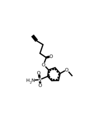 C#CCCC(=O)Oc1cc(OC)ccc1S(N)(=O)=O